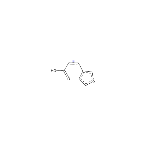 O=C(O)/C=C\c1ccsc1